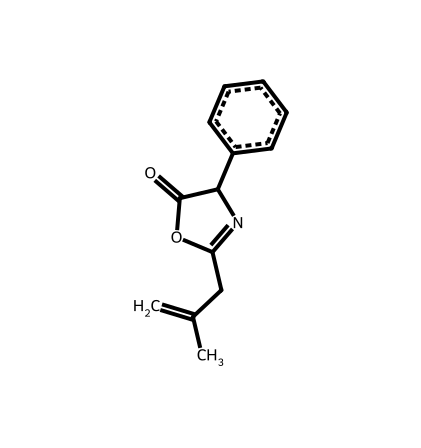 C=C(C)CC1=NC(c2ccccc2)C(=O)O1